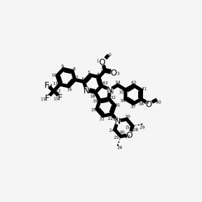 COC(=O)c1cc(-c2cccc(C(F)(F)F)c2)nc2c3ccc(N4C[C@@H](C)O[C@@H](C)C4)cc3n(Cc3ccc(OC)cc3)c12